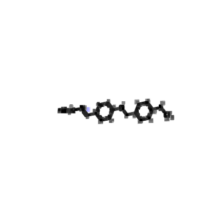 CCCCCCC/N=C/c1ccc(OCc2ccc(SC(F)(F)F)cc2)cc1